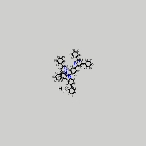 Cc1ccccc1-c1ccc2c(c1)c1ccccc1n2-c1ccc(-c2cc(-c3ccccc3)nc(-c3ccccc3)n2)cc1-c1nc(-c2ccccc2)cc(-c2ccccc2)n1